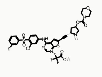 O=C(O)C(F)(F)F.O=C(O[C@H]1CN[C@H](C#Cc2cc3c(Nc4ccc(S(=O)(=O)c5cccc(F)c5)c(Cl)c4)ncnc3s2)C1)N1CCOCC1